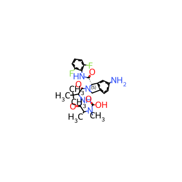 CC(C(=O)NC(C(=O)N1Cc2ccc(N)cc2[C@H]1C(=O)Nc1c(F)cccc1F)C(C)(C)C)N(C)C(=O)O